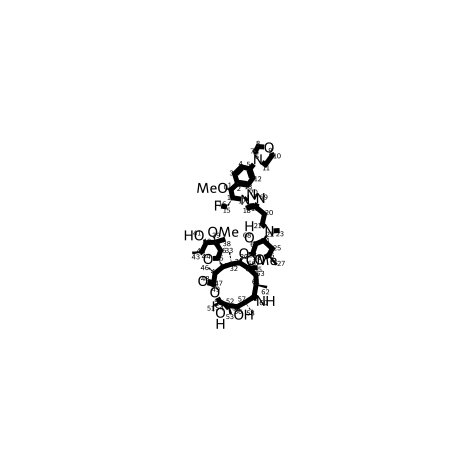 CO[C@H](c1ccc(N2CCOCC2)cc1)[C@@H](CF)n1cc(CCN(C)[C@H]2C[C@@H](C)O[C@@H](O[C@@H]3[C@@H](C)C([C@H]4C[C@@](C)(OC)[C@@H](O)[C@H](C)O4)[C@@H](C)C(=O)O[C@H](I)[C@@](C)(O)[C@H](O)[C@@H](C)C(=N)[C@H](C)C[C@@]3(C)OC)[C@@H]2O)nn1